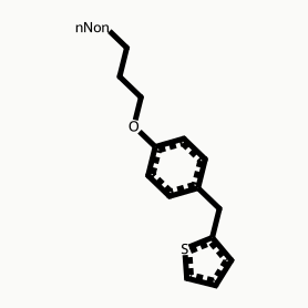 CCCCCCCCCCCCOc1ccc(Cc2cccs2)cc1